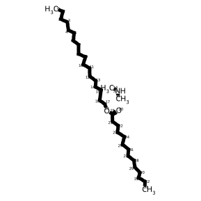 CCCCCCCCCCCCCCCCCCOC(=O)CCCCCCCCCCCCC.CNC